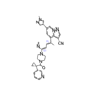 C=N/C(=C\C=C(/C)c1cc(-c2cnn(C)c2)cn2ncc(C#N)c12)N1CCN(C(=O)C2(c3cccnc3)CC2)CC1